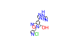 Cn1nccc1Nc1nccc(-c2cc(C#N)c3c(c2)C(CO)CN3C(=O)Cc2cccnc2Cl)n1